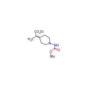 CCOC(=O)C(C)=C1CCN(NC(=O)OC(C)(C)C)CC1